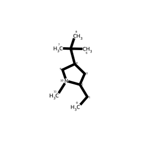 CCC1CC(C(C)(C)C)CN1C